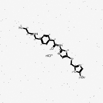 CC(C)(C)c1cnc(CSc2cnc(NC(=O)Cc3ccc(CNCCO)cc3)s2)o1.Cl